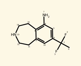 CC(F)(F)c1cc(N)c2c(c1)CCNCC2